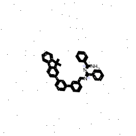 CC1(C)c2ccccc2-c2ccc(-c3cccc(-c4cccc(C/N=C(\N=C(/N)c5ccccc5)c5ccccc5)c4)c3)cc21